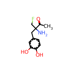 CC(=O)C(N)(CF)Cc1ccc(O)c(O)c1